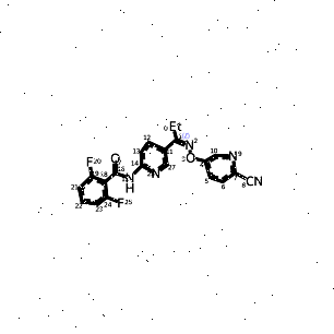 CC/C(=N/Oc1ccc(C#N)nc1)c1ccc(NC(=O)c2c(F)cccc2F)nc1